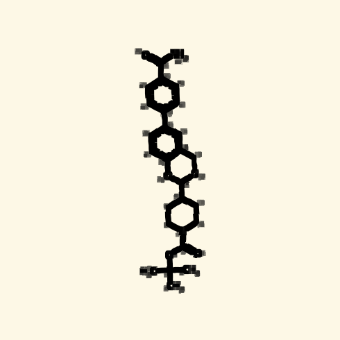 CC(C)(C)OC(=O)N1CCC(C2OCc3cc(-c4ccc(C(N)=O)cc4)ccc3O2)CC1